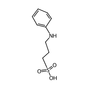 O=S(=O)(O)CCCNc1ccccc1